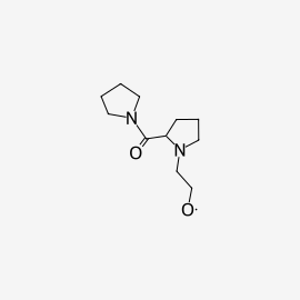 [O]CCN1CCCC1C(=O)N1CCCC1